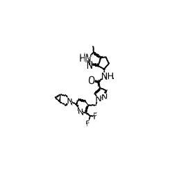 Cc1[nH]nc2c1CC[C@H]2NC(=O)c1cnn(Cc2ccc(N3CC4CC4C3)nc2C(F)F)c1